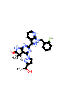 CC(O)c1ccn(-c2nc(-c3nn(Cc4ccccc4F)c4ncccc34)nc3c2C(C)(C)C(=O)N3)n1